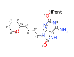 CCC[C@H](C)Oc1nc(N)c2[nH]c(=O)n(CCCCC3CCCCO3)c2n1